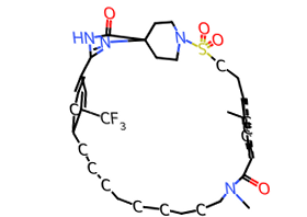 Cc1cc2ccc1CCS(=O)(=O)N1CCC3(CC1)N=C(NC3=O)C1=CCC(CCCCCCCCCN(C)C2=O)C(C(F)(F)F)=C1